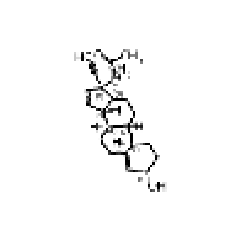 C#C[C@]1(OC(C)=O)C=C[C@H]2[C@@H]3CCC4=C[C@@H](O)CC[C@@H]4[C@H]3CC[C@@]21CC